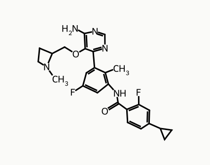 Cc1c(NC(=O)c2ccc(C3CC3)cc2F)cc(F)cc1-c1ncnc(N)c1OCC1CCN1C